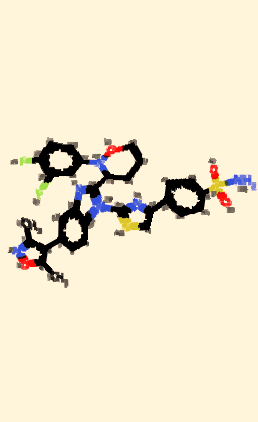 Cc1noc(C)c1-c1ccc2c(c1)nc([C@@H]1CCCON1c1ccc(F)c(F)c1)n2-c1nc(-c2ccc(S(N)(=O)=O)cc2)cs1